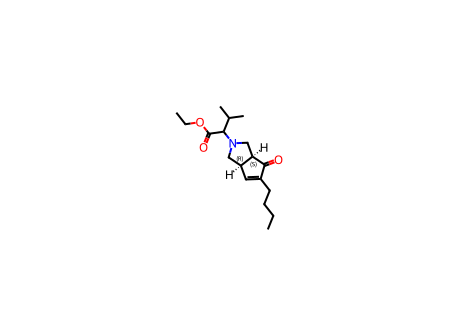 CCCCC1=C[C@H]2CN(C(C(=O)OCC)C(C)C)C[C@H]2C1=O